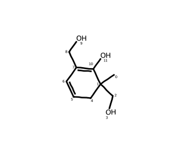 CC1(CO)CC=CC(CO)=C1O